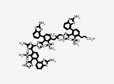 CC(C)(Cc1ccc(-c2cccc3sc(N)nc23)c(-c2nnn(-c3nc(N)sc3-c3ccc(-c4cccc5sc(N)nc45)c(-c4nn[nH]n4)c3S(N)(=O)=O)n2)c1S(N)(=O)=O)Cn1nnc(-c2c(-c3cccc4sc(N)nc34)ccc(CCC(=O)O)c2S(N)(=O)=O)n1